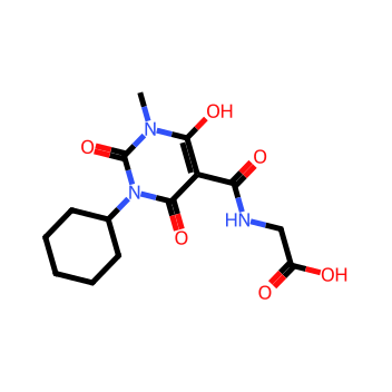 Cn1c(O)c(C(=O)NCC(=O)O)c(=O)n(C2CCCCC2)c1=O